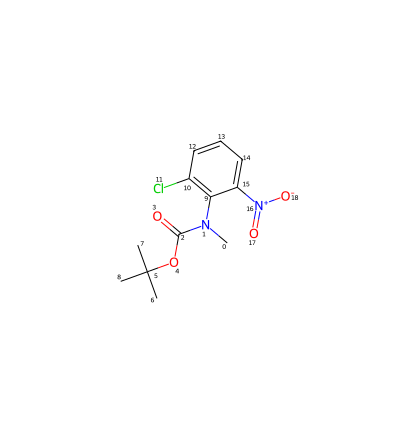 CN(C(=O)OC(C)(C)C)c1c(Cl)cccc1[N+](=O)[O-]